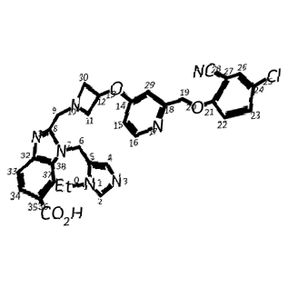 CCn1cncc1Cn1c(CN2CC(Oc3ccnc(COc4ccc(Cl)cc4C#N)c3)C2)nc2ccc(C(=O)O)cc21